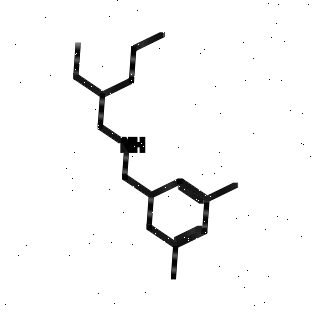 CCCC(CC)CNCC1C=C(C)C=C(C)C1